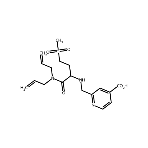 C=CCN(CC=C)C(=O)C(CCS(C)(=O)=O)NCc1cc(C(=O)O)ccn1